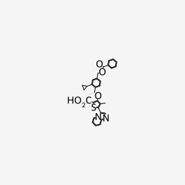 Cc1c(-c2cnc3ccccn23)sc(C(=O)O)c1O[C@H](C)c1ccc(COC(=O)c2ccccc2)cc1C1CC1